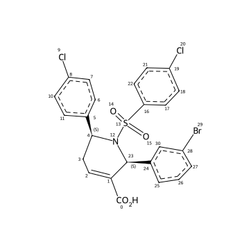 O=C(O)C1=CC[C@@H](c2ccc(Cl)cc2)N(S(=O)(=O)c2ccc(Cl)cc2)[C@H]1c1cccc(Br)c1